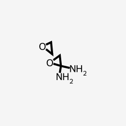 C1CO1.NC1(N)CO1